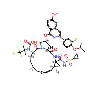 COc1ccc2c(O[C@@H]3C[C@H]4C(=O)N[C@]5(C(=O)NS(=O)(=O)C6CC6)C[C@H]5C=CCC[C@H](C)C[C@@H](C)[C@H](N(C(=O)O)C(C)(C)C(F)(F)F)C(=O)N4C3)nc(-c3ccc(OC(C)C)c(F)c3)cc2c1